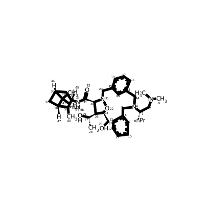 CCC[C@@H](CN(C)C)N(Cc1ccccc1)Cc1cccc(CN2O[C@@H](CO)[C@@H]([C@H](C)O)[C@H]2C(=O)N[C@H]2C[C@H]3C[C@@H]([C@@H]2C)C3(C)C)c1